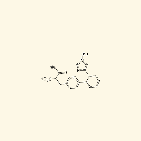 CCCCC(=O)C(Cc1ccc(-c2ccccc2-c2nnn(C(C)(C)C)n2)cc1)C(=O)O